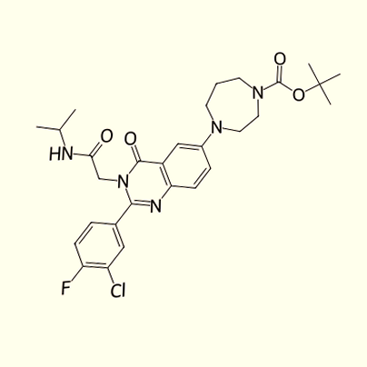 CC(C)NC(=O)Cn1c(-c2ccc(F)c(Cl)c2)nc2ccc(N3CCCN(C(=O)OC(C)(C)C)CC3)cc2c1=O